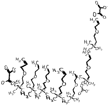 C=CCOCC[N+](C)(C)C.C=CCOCC[N+](C)(C)C.C=CCOCC[N+](C)(C)C.C=CCOCC[N+](C)(C)C.C=CCOCC[N+](C)(C)C.C=CCOCC[N+](C)(C)C.C=CCOCC[N+](C)(C)C.O=C([O-])C(=O)[O-].O=C([O-])C(=O)[O-].[O-]B([O-])[O-]